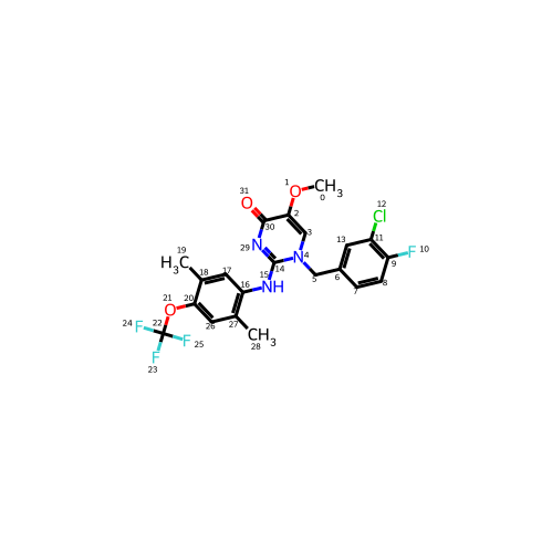 COc1cn(Cc2ccc(F)c(Cl)c2)c(Nc2cc(C)c(OC(F)(F)F)cc2C)nc1=O